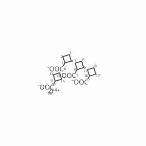 O=C([O-])C1CCC1.O=C([O-])C1CCC1.O=C([O-])C1CCC1.O=C([O-])C1CCC1.[Zr+4]